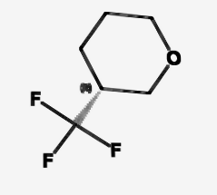 FC(F)(F)[C@@H]1CCCOC1